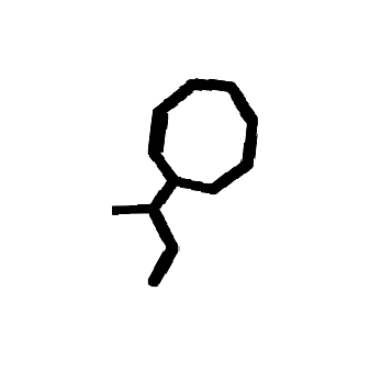 CC[C](C)C1/C=C\CCCCC1